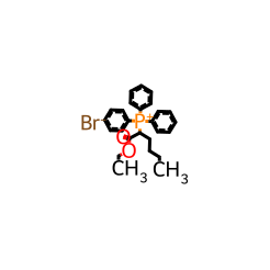 CCCCC(C(=O)OCC)[P+](c1ccccc1)(c1ccccc1)c1ccccc1.[Br-]